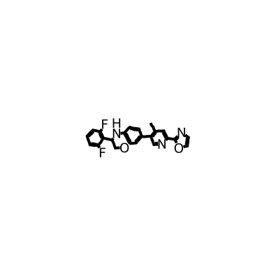 Cc1cc(-c2ncco2)ncc1-c1ccc2c(c1)OCC(c1c(F)cccc1F)N2